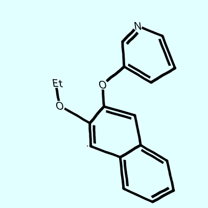 CCOc1[c]c2ccccc2cc1Oc1cccnc1